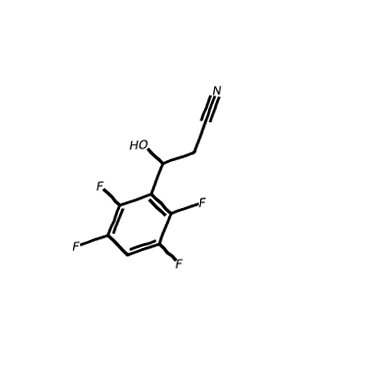 N#CCC(O)c1c(F)c(F)cc(F)c1F